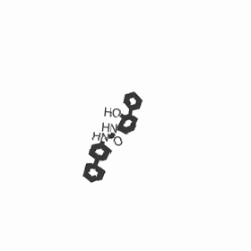 O=C(Nc1ccc(-c2ccccc2)cc1)Nc1cccc(-c2ccccc2)c1O